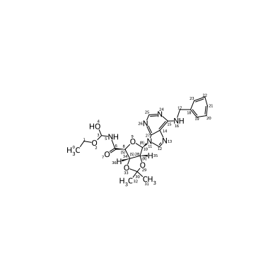 CCOC(O)NC(=O)[C@H]1O[C@@H](n2cnc3c(NCc4ccccc4)ncnc32)[C@@H]2OC(C)(C)O[C@@H]21